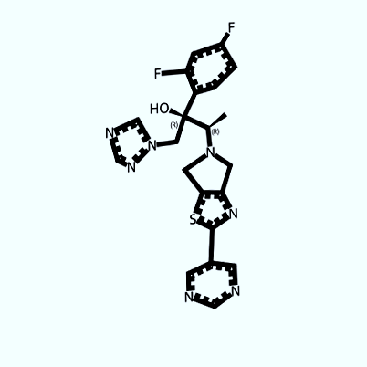 C[C@@H](N1Cc2nc(-c3cncnc3)sc2C1)[C@](O)(Cn1cncn1)c1ccc(F)cc1F